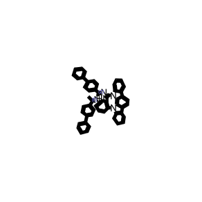 C/C(=N\C(=N/C(=N)n1c2ccccc2c2ccc3c4c(n(-c5ccccc5)c3c21)CCC=C4)c1ccc(-c2ccccc2)cc1)c1ccc(-c2ccccc2)cc1